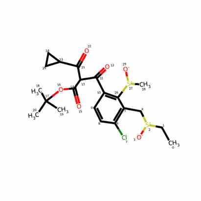 CC[S+]([O-])Cc1c(Cl)ccc(C(=O)C(C(=O)OC(C)(C)C)C(=O)C2CC2)c1[S+](C)[O-]